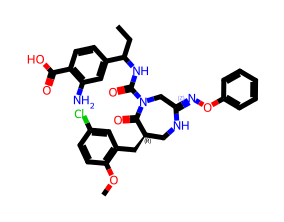 CCC(NC(=O)N1C/C(=N/Oc2ccccc2)NC[C@@H](Cc2cc(Cl)ccc2OC)C1=O)c1ccc(C(=O)O)c(N)c1